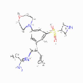 C=C/C(=C\N=C(/C)N)c1cc(N2CCOCC2)cc(S(=O)(=O)C2CNC2)c1